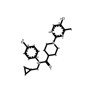 Cc1nc(N2CCC(C(=O)N(CC3CC3)c3ccc(Cl)cc3)CC2)ncc1Cl